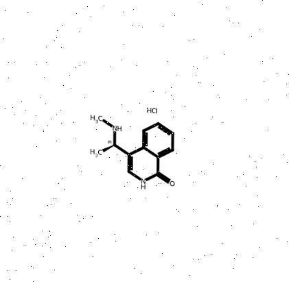 CN[C@H](C)c1c[nH]c(=O)c2ccccc12.Cl